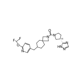 O=C(N1CC[C@H](c2ncn[nH]2)C1)N1CC2(CCC(Cc3ccc(OC(F)F)nc3)CC2)C1